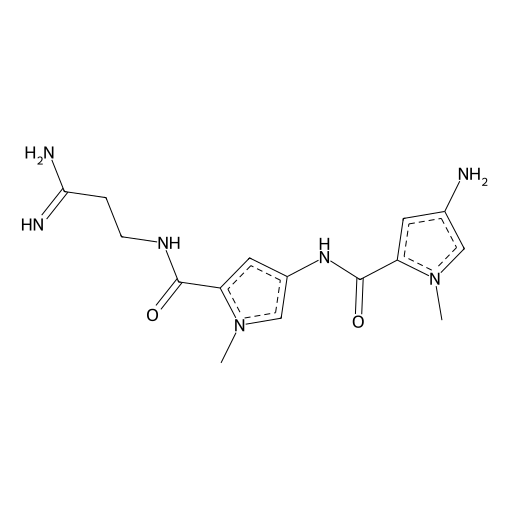 Cn1cc(NC(=O)c2cc(N)cn2C)cc1C(=O)NCCC(=N)N